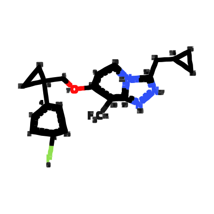 Fc1ccc(C2(COc3ccn4c(CC5CC5)nnc4c3C(F)(F)F)CC2)cc1